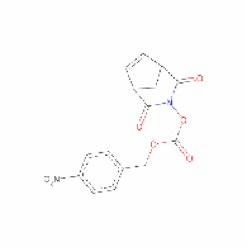 O=C(OCc1ccc([N+](=O)[O-])cc1)ON1C(=O)C2C=CC(C2)C1=O